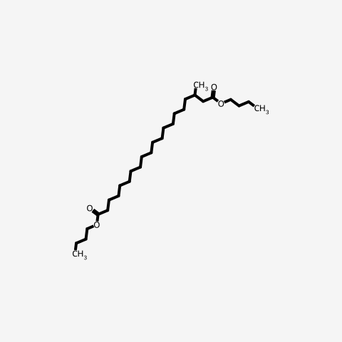 CCCCOC(=O)CCCCCCCCCCCCCCCCC(C)CC(=O)OCCCC